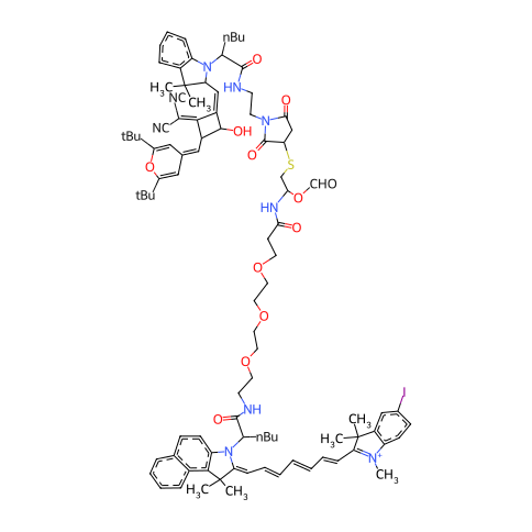 [C-]#[N+]/C(C#N)=C1\C(=CC2N(C(CCCC)C(=O)NCCN3C(=O)CC(SCC(NC(=O)CCOCCOCCOCCNC(=O)C(CCCC)N4\C(=C/C=C/C=C/C=C/C5=[N+](C)c6ccc(I)cc6C5(C)C)C(C)(C)c5c4ccc4ccccc54)OC=O)C3=O)c3ccccc3C2(C)C)C(O)C1C=C1C=C(C(C)(C)C)OC(C(C)(C)C)=C1